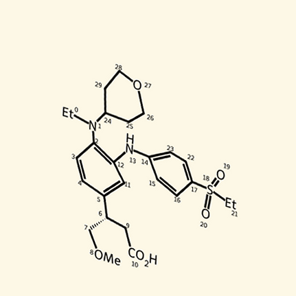 CCN(c1ccc([C@@H](COC)CC(=O)O)cc1Nc1ccc(S(=O)(=O)CC)cc1)C1CCOCC1